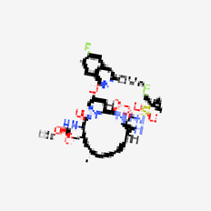 COc1cc2cc(F)ccc2c(O[C@@H]2C[C@H]3C(=O)N[C@]4(C(=O)NS(=O)(=O)C5(CF)CC5)C[C@H]4/C=C\CC[C@H](C)C[C@@H](C)[C@H](NC(=O)OC(C)(C)C)C(=O)N3C2)n1